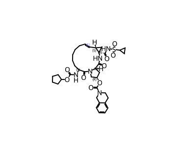 O=C(N[C@H]1CCCCC/C=C/[C@@H]2C[C@@]2(C(=O)NS(=O)(=O)C2CC2)NC(=O)[C@@H]2C[C@@H](OC(=O)N3CCc4ccccc4C3)CN2C1=O)OC1CCCC1